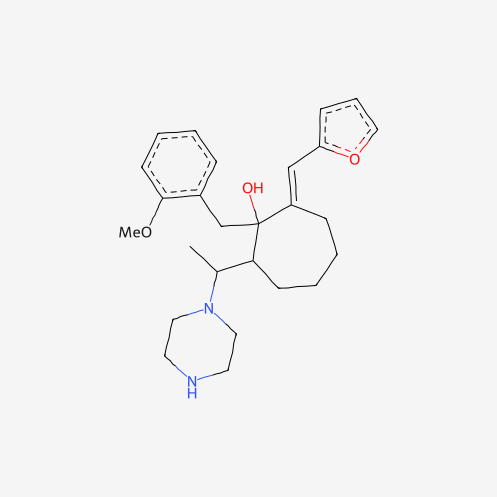 COc1ccccc1CC1(O)C(=Cc2ccco2)CCCCC1C(C)N1CCNCC1